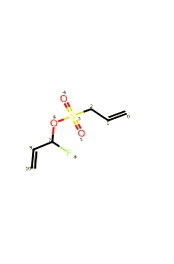 C=CCS(=O)(=O)OC(F)C=C